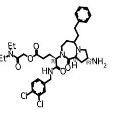 CCN(CC)C(=O)COC(=O)CC[C@H](C(=O)NCc1ccc(Cl)c(Cl)c1)N1CCC(CCc2ccccc2)N2C[C@H](N)C[C@H]2C1=O